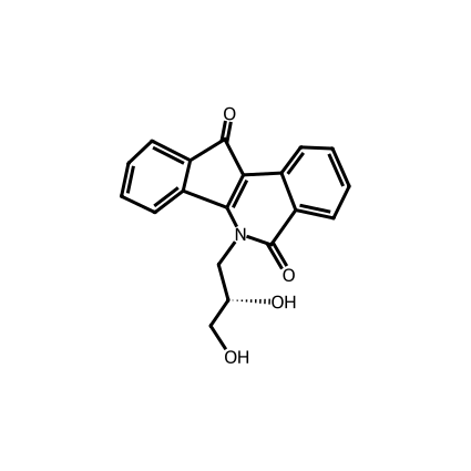 O=C1c2ccccc2-c2c1c1ccccc1c(=O)n2C[C@H](O)CO